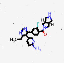 CCc1ncnc(-c2ccc(C(=O)N3C[C@H]4CNC[C@H]4C3)c(F)c2)c1-c1ccc(N)nc1